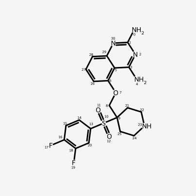 Nc1nc(N)c2c(OCC3(S(=O)(=O)c4ccc(F)c(F)c4)CCNCC3)cccc2n1